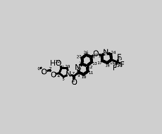 COCOC1CN(C(=O)c2ccc3cc(Oc4ccc(C(F)(F)F)cn4)ccc3n2)CC1O